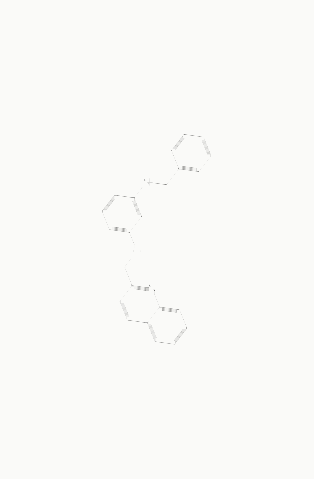 c1ccc(CNc2cccc(OCc3ccc4ccccc4n3)c2)cc1